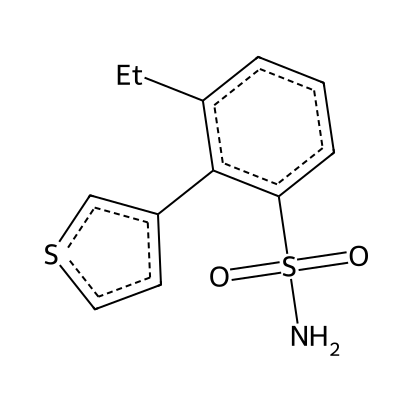 CCc1cccc(S(N)(=O)=O)c1-c1ccsc1